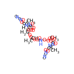 C=C(COCOCC(C)(C)COCOCC(=O)NCCOCCOC(=O)O[C@]1(CC)C(=O)OCc2c1cc1n(c2=O)Cc2c-1nc1ccc(OC(=O)N3CCC(N4CCCCC4)CC3)cc1c2CC)CC(=O)O[C@]1(CC)C(=O)OCc2c1cc1n(c2=O)Cc2c-1nc1ccc(OC(=O)N3CCC(N4CCCCC4)CC3)cc1c2CC